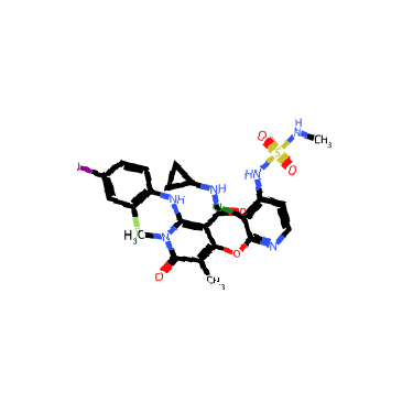 CNS(=O)(=O)Nc1ccnc(Oc2c(C(=O)NC3CC3)c(Nc3ccc(I)cc3F)n(C)c(=O)c2C)c1Cl